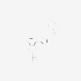 O=S(=O)(NC1CCOCC1)c1ccc(-c2ccnc3c2CC(C(F)(F)F)N3)s1